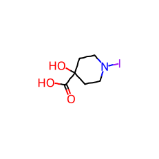 O=C(O)C1(O)CCN(I)CC1